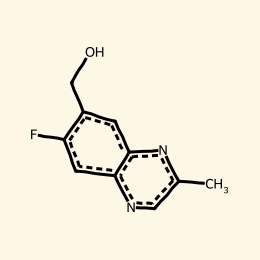 Cc1cnc2cc(F)c(CO)cc2n1